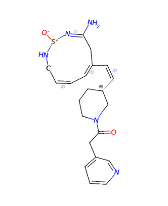 N/C1=N/[S+]([O-])NC\C=C/C=C(/C=C\[C@H]2CCCN(C(=O)Cc3cccnc3)C2)C1